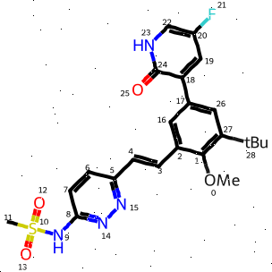 COc1c(/C=C/c2ccc(NS(C)(=O)=O)nn2)cc(-c2cc(F)c[nH]c2=O)cc1C(C)(C)C